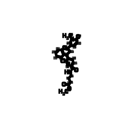 COC(=O)CCCNC(=O)c1ccc(C(CC(=O)c2ccc(=O)n(C)c2)c2ccccc2C)cc1